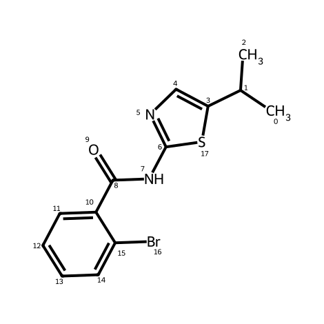 CC(C)c1cnc(NC(=O)c2ccccc2Br)s1